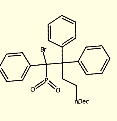 CCCCCCCCCCCCC(c1ccccc1)(c1ccccc1)C(Br)(c1ccccc1)P(=O)=O